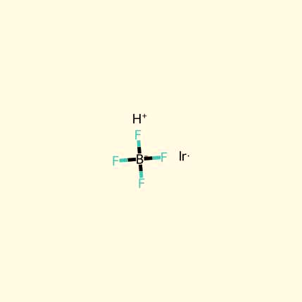 F[B-](F)(F)F.[H+].[Ir]